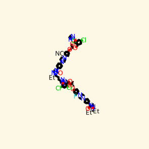 CCC(CC)n1ncn(-c2ccc(N3CCN(c4ccc(OC[C@@H]5CO[C@@](Cn6ncc(CCC(CC)n7ncn(-c8ccc(N9CCN(c%10ccc(OC[C@@H]%11COC(Cn%12nccn%12)C%12(CC=C(Cl)C=C%12Cl)CO%11)cc%10C#N)CC9)cc8)c7=O)n6)(c6ccc(Cl)cc6Cl)O5)cc4F)CC3)cc2)c1=O